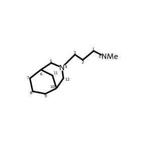 CNCCCN1CC2CCCC(C2)C1